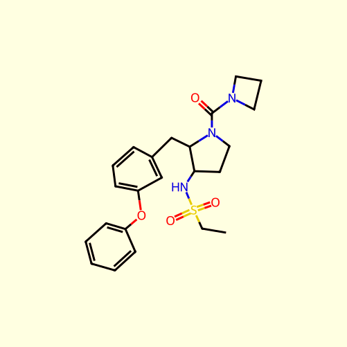 CCS(=O)(=O)NC1CCN(C(=O)N2CCC2)C1Cc1cccc(Oc2ccccc2)c1